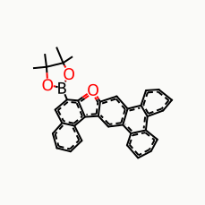 CC1(C)OB(c2cc3ccccc3c3c2oc2cc4c5ccccc5c5ccccc5c4cc23)OC1(C)C